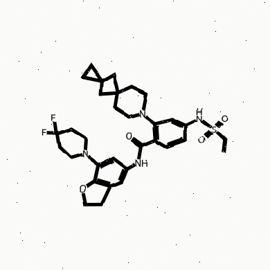 CCS(=O)(=O)Nc1ccc(C(=O)Nc2cc3c(c(N4CCC(F)(F)CC4)c2)OCC3)c(N2CCC3(CC2)CC2(CC2)C3)c1